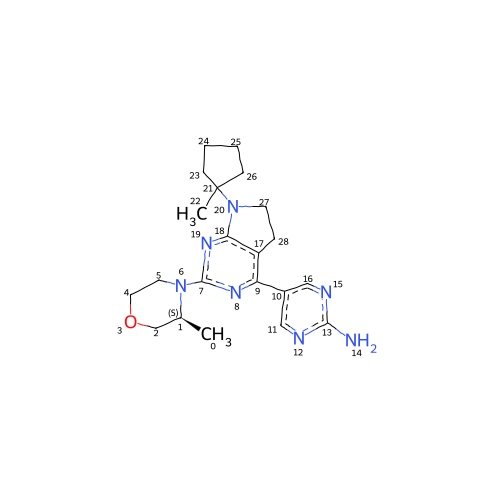 C[C@H]1COCCN1c1nc(-c2cnc(N)nc2)c2c(n1)N(C1(C)CCCC1)CC2